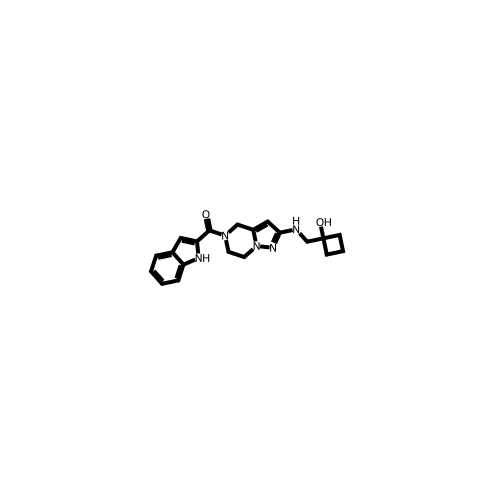 O=C(c1cc2ccccc2[nH]1)N1CCn2nc(NCC3(O)CCC3)cc2C1